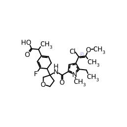 CCc1c(/C(Cl)=C(\C)OC)cc(C(=O)NC2(C3CC=C(C(C)C(=O)O)C=C3F)CCOC2)n1C